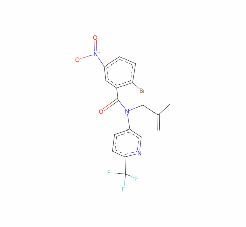 C=C(C)CN(C(=O)c1cc([N+](=O)[O-])ccc1Br)c1ccc(C(F)(F)F)nc1